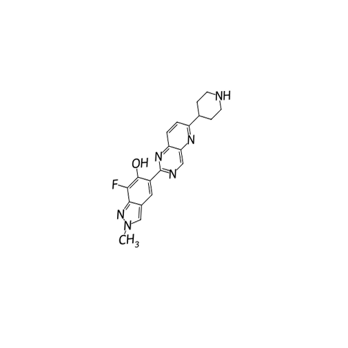 Cn1cc2cc(-c3ncc4nc(C5CCNCC5)ccc4n3)c(O)c(F)c2n1